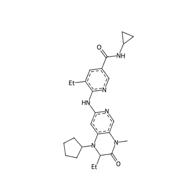 CCc1cc(C(=O)NC2CC2)cnc1Nc1cc2c(cn1)N(C)C(=O)C(CC)N2C1CCCC1